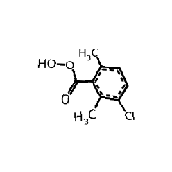 Cc1ccc(Cl)c(C)c1C(=O)OO